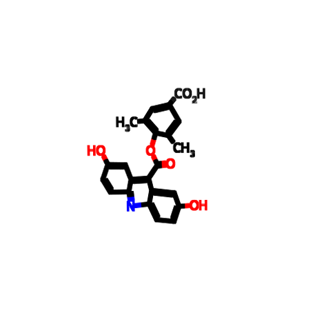 Cc1cc(C(=O)O)cc(C)c1OC(=O)c1c2cc(O)ccc2nc2ccc(O)cc12